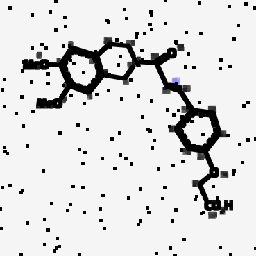 COc1cc2c(cc1OC)CN(C(=O)/C=C/c1ccc(OCC(=O)O)cc1)CC2